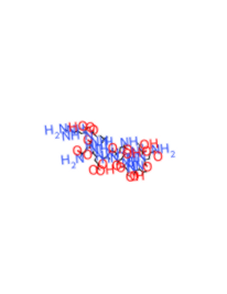 CC(C)C[C@H](NC(=O)[C@H](CCC(N)=O)NC(=O)[C@H](CCC(=O)O)NC(=O)[C@H](C)NC(=O)[C@H](CCC(N)=O)NC(=O)[C@@H](NC(=O)[C@H](CO)NC(=O)[C@@H](NC(=O)[C@H](CCC(N)=O)NC(=O)[C@@H](N)[C@@H](C)O)C(C)C)[C@@H](C)O)C(=O)N[C@@H](CCCNC(=N)N)C(=O)O